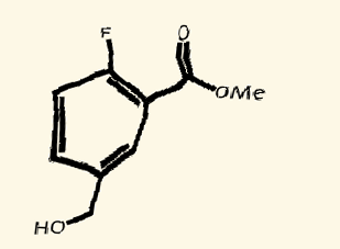 COC(=O)c1cc(CO)ccc1F